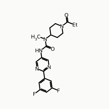 CCC(=O)N1CCC(N(C)C(=O)Nc2cnc(-c3cc(F)cc(F)c3)nc2)CC1